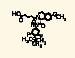 COc1ccc2c(c1)CCN(C(=O)CCCC(=O)O)[C@H]2C(=O)Nc1cc(F)c([Si](C)(C)C)c(F)c1